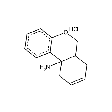 Cl.NC12CC=CCC1COc1ccccc12